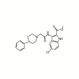 COC(=O)c1[nH]c2ccc(Cl)cc2c1NC(=O)CN1CCC(c2ccccc2)CC1